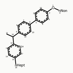 CCCCCCCCCOc1ccc(-c2ccc(C(C)c3ccc(CCCCCCC)cn3)cc2)cc1